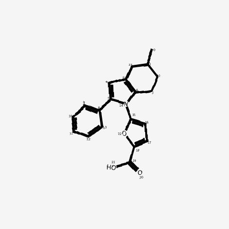 CC1CCc2c(cc(-c3ccccc3)n2-c2ccc(C(=O)O)o2)C1